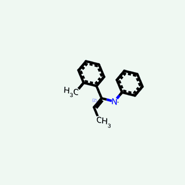 C/C=C(\[N]c1ccccc1)c1ccccc1C